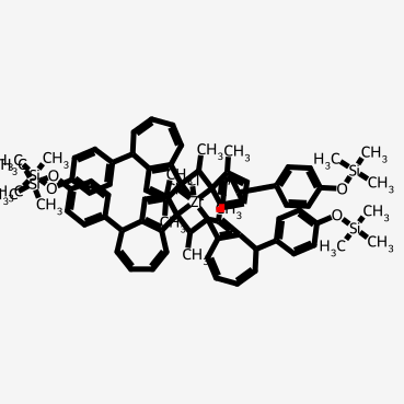 CC1=CC2=C(C=CC=CC2c2ccc(O[Si](C)(C)C)cc2)[C]12C(C)[C]1(C(C)=CC3=C1C=CC=CC3c1ccc(O[Si](C)(C)C)cc1)[Zr]21([Cl])([Cl])[C]2(C(C)=CC3=C2C=CC=CC3c2ccc(O[Si](C)(C)C)cc2)C(C)[C]12C(C)=CC1=C2C=CC=CC1c1ccc(O[Si](C)(C)C)cc1